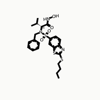 CCCCSc1nc2ccc(S(=O)(=O)N(Cc3ccccc3)[C@@H](C(=O)NO)C(C)C)cc2s1